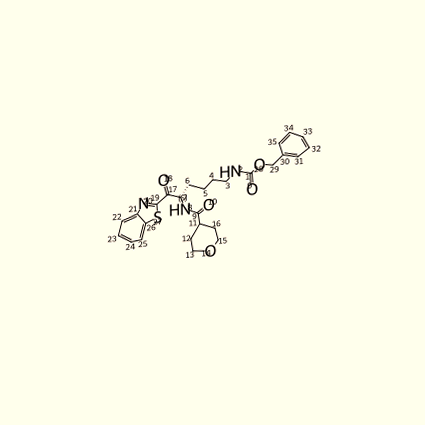 O=C(NCCCC[C@H](NC(=O)C1CCOCC1)C(=O)c1nc2ccccc2s1)OCc1ccccc1